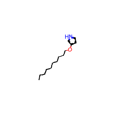 CCCCCCCCCCOc1cc[nH]c1